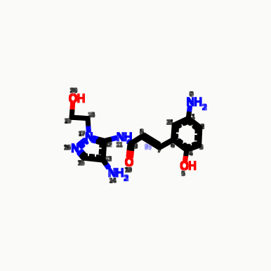 Nc1ccc(O)c(/C=C/C(=O)Nc2c(N)cnn2CCO)c1